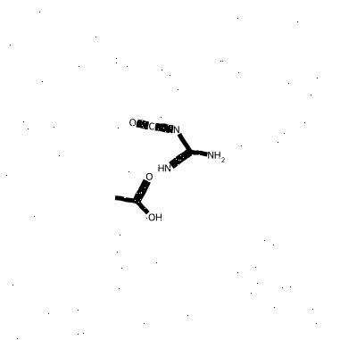 CC(=O)O.N=C(N)N=C=O